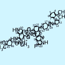 CC(C)c1ccccc1[C@@H]1CCC[C@@H]1N1CC2(CCN(c3ccc(C(=O)NS(=O)(=O)c4cc([NH+](C)[O-])c(NC[C@H]5CC[C@](C)(O)CC5)c5c4=CCNC=5)c(Oc4cc5c(F)c[nH]c5nc4F)c3)CC2)C1